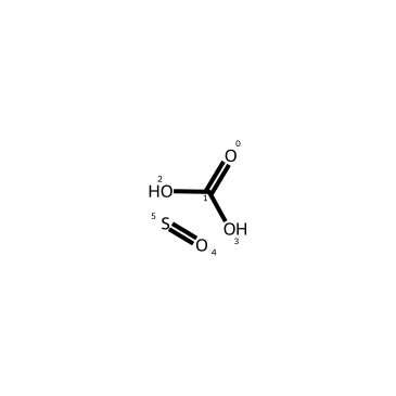 O=C(O)O.O=S